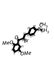 COc1ccc(OC)c(C(=O)/C(Br)=C/c2ccc(N(C)C)cc2)c1